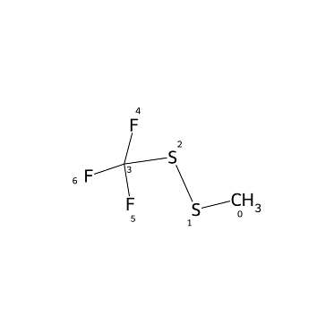 CSSC(F)(F)F